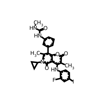 CNC(=O)Nc1cccc(-c2c(C)n(C3CC3)c(=O)c3c(Nc4ccc(I)cc4F)c(C)c(=O)oc23)c1